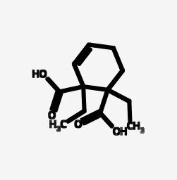 CCC1(C(=O)O)C=CCCC1(CC)C(=O)O